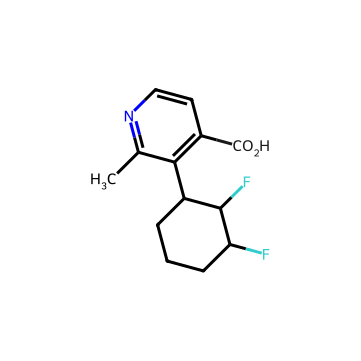 Cc1nccc(C(=O)O)c1C1CCCC(F)C1F